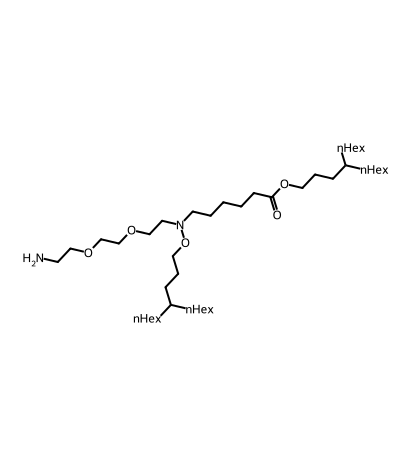 CCCCCCC(CCCCCC)CCCOC(=O)CCCCCN(CCOCCOCCN)OCCCC(CCCCCC)CCCCCC